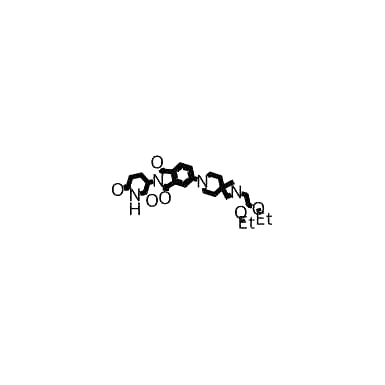 CCOC(CN1CC2(CCN(c3ccc4c(c3)C(=O)N(C3CCC(=O)NC3=O)C4=O)CC2)C1)OCC